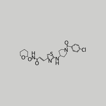 O=C(C=Cc1csc(NC2CCN(C(=O)c3ccc(Cl)cc3)CC2)n1)NOC1CCCCO1